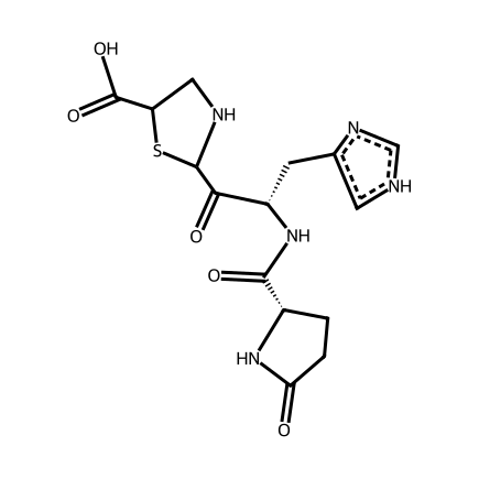 O=C1CC[C@@H](C(=O)N[C@@H](Cc2c[nH]cn2)C(=O)C2NCC(C(=O)O)S2)N1